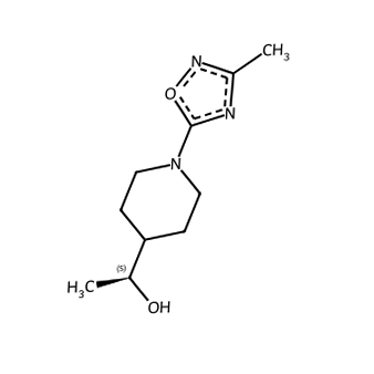 Cc1noc(N2CCC([C@H](C)O)CC2)n1